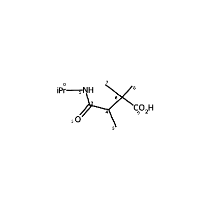 CC(C)NC(=O)C(C)C(C)(C)C(=O)O